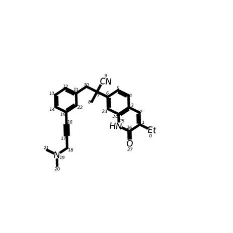 CCc1cc2ccc(C(C)(C#N)Cc3cccc(C#CCN(C)C)c3)cc2[nH]c1=O